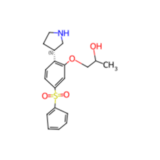 CC(O)COc1cc(S(=O)(=O)c2ccccc2)ccc1[C@@H]1CCNC1